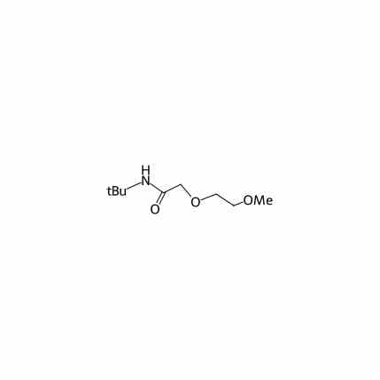 COCCOCC(=O)NC(C)(C)C